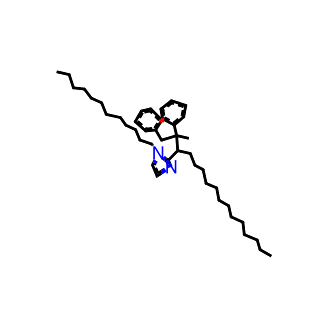 CCCCCCCCCCCCCC(c1nccn1CCCCCCCCCCCC)C(C)(Cc1ccccc1)c1ccccc1